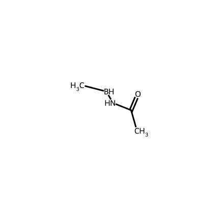 CBNC(C)=O